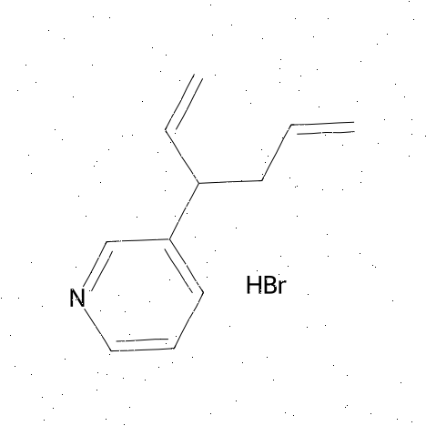 Br.C=CCC(C=C)c1cccnc1